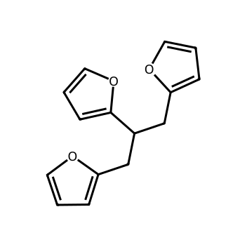 c1coc(CC(Cc2ccco2)c2ccco2)c1